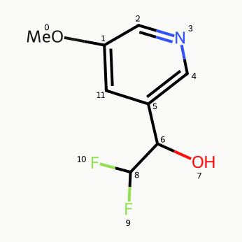 COc1cncc(C(O)C(F)F)c1